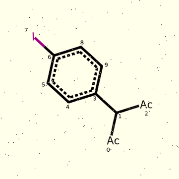 CC(=O)C(C(C)=O)c1ccc(I)cc1